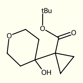 CC(C)(C)OC(=O)C1(C2(O)CCOCC2)CC1